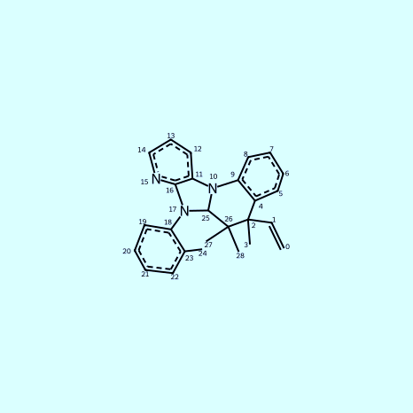 C=CC1(C)c2ccccc2N2c3cccnc3N(c3ccccc3C)C2C1(C)C